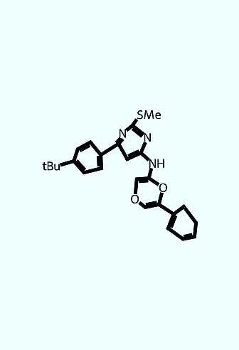 CSc1nc(NC2=COC=C(C3=CC=CCC3)O2)cc(-c2ccc(C(C)(C)C)cc2)n1